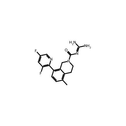 Cc1ccc(-c2ncc(F)cc2F)c2c1CCN(C(=O)N=C(N)N)C2